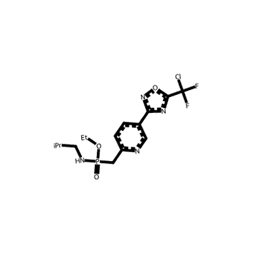 CCOP(=O)(Cc1ccc(-c2noc(C(F)(F)Cl)n2)cn1)NCC(C)C